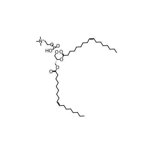 CCCCCCC/C=C\CCCCCCCC(=O)OC[C@H](COP(=O)(O)OCC[N+](C)(C)C)OC(=O)CCCCCCC/C=C\CCCCCCC